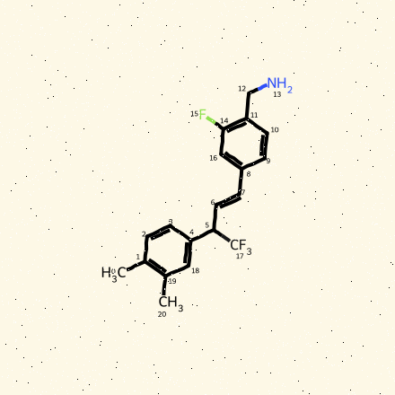 Cc1ccc(C(/C=C/c2ccc(CN)c(F)c2)C(F)(F)F)cc1C